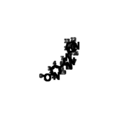 COc1ccc(-c2cn(C3CN4CCC3CC4)nn2)cn1